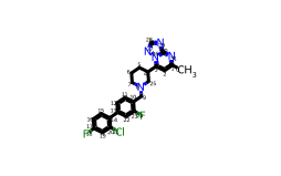 Cc1cc(C2CCCN(Cc3ccc(-c4ccc(F)cc4Cl)cc3F)C2)n2ncnc2n1